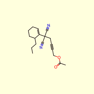 CCCC1CCCC=C1C(C#N)(C#N)CC#CCOC(C)=O